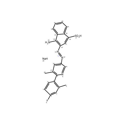 Cc1cc(F)ccc1-c1ncc(/N=N/c2cc(S(=O)(=O)O)c3ccccc3c2N)cc1C.[NaH]